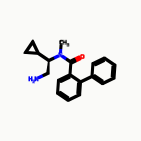 CN(C(=O)c1ccccc1-c1ccccc1)[C@@H](CN)C1CC1